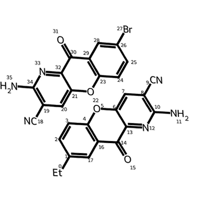 CCc1ccc2oc3cc(C#N)c(N)nc3c(=O)c2c1.N#Cc1cc2oc3ccc(Br)cc3c(=O)c2nc1N